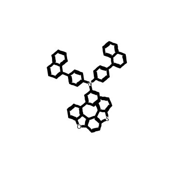 c1cc(-c2cccc3oc4ccc5sc6ccccc6c5c4c23)cc(N(c2ccc(-c3cccc4ccccc34)cc2)c2ccc(-c3cccc4ccccc34)cc2)c1